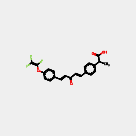 CC(C(=O)O)c1ccc(C=CC(=O)C=Cc2ccc(OC(F)=C(F)F)cc2)cc1